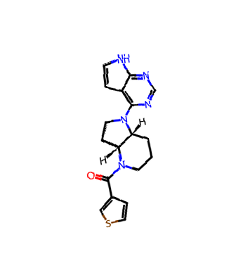 O=C(c1ccsc1)N1CCC[C@@H]2[C@H]1CCN2c1ncnc2[nH]ccc12